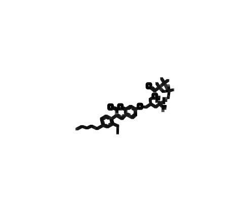 CCCCCc1ccc(-c2cc3ccc(OCC(COC(=O)C(C)(CC(C)(C)C)C(C)(C)C)CC(F)(F)F)cc3oc2=O)c(CC)c1